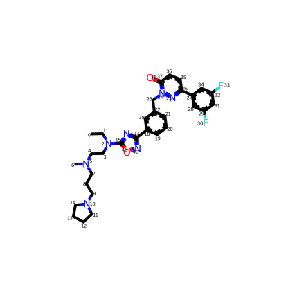 CCN(CCN(C)CCCN1CCCC1)c1nc(-c2cccc(Cn3nc(-c4cc(F)cc(F)c4)ccc3=O)c2)no1